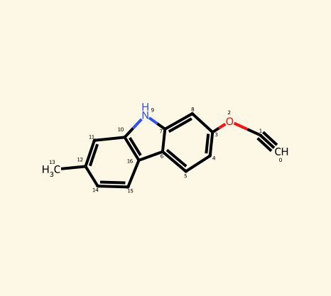 C#COc1ccc2c(c1)[nH]c1cc(C)ccc12